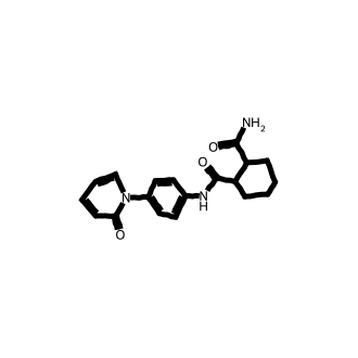 NC(=O)C1CCCCC1C(=O)Nc1ccc(-n2ccccc2=O)cc1